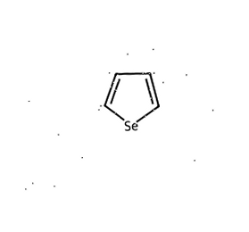 [c]1c[c][se]c1